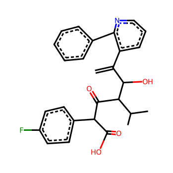 C=C(c1cccnc1-c1ccccc1)C(O)C(C(=O)C(C(=O)O)c1ccc(F)cc1)C(C)C